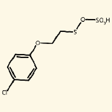 O=S(=O)(O)OSCCOc1ccc(Cl)cc1